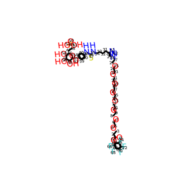 O=C(CCOCCOCCOCCOCCOCCOCCOCCOCCn1cc(CCCCNC(=S)Nc2ccc(O[C@H]3O[C@H](CCP(=O)(O)O)[C@@H](O)[C@H](O)[C@@H]3O)cc2)nn1)Oc1c(F)c(F)c(F)c(F)c1F